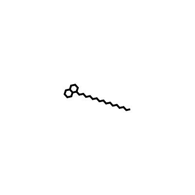 CCCCCCCCCCCCCCCCC1CCCC2CCCCC12